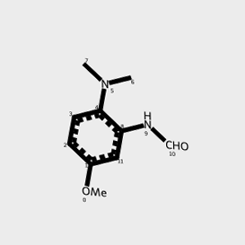 COc1ccc(N(C)C)c(NC=O)c1